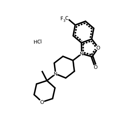 CC1(N2CCC(n3c(=O)oc4ccc(C(F)(F)F)cc43)CC2)CCOCC1.Cl